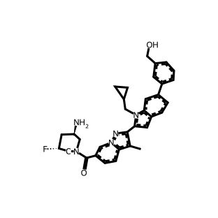 Cc1c(-c2cc3ccc(-c4cccc(CO)c4)cc3n2CC2CC2)nn2cc(C(=O)N3C[C@H](N)C[C@@H](F)C3)ccc12